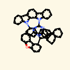 c1ccc(-c2cccc(-c3cccc4oc5cccc(-c6nc(-c7ccccc7)nc(-n7c8ccccc8c8ccc9c%10ccccc%10n(-c%10cccc(-c%11ccccc%11)c%10)c9c87)n6)c5c34)c2)cc1